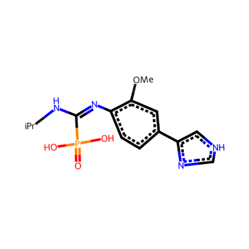 COc1cc(-c2c[nH]cn2)ccc1N=C(NC(C)C)P(=O)(O)O